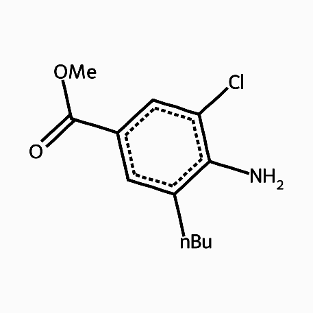 CCCCc1cc(C(=O)OC)cc(Cl)c1N